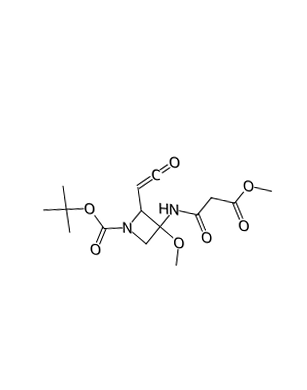 COC(=O)CC(=O)NC1(OC)CN(C(=O)OC(C)(C)C)C1C=C=O